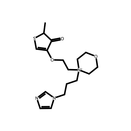 CC1SC=C(OCC[N+]2(CCCn3ccnc3)CCOCC2)C1=O